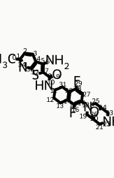 Cc1ccc2c(N)c(C(=O)N[C@H]3CCc4c(F)c(N5CC6CNCC(C5)O6)cc(F)c4C3)sc2n1